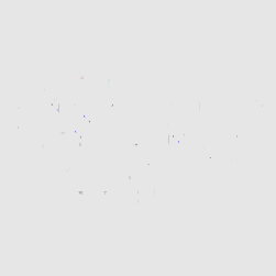 Cc1c(CF)cccc1NC(=O)c1cc(F)c(-n2nc3n(c2=O)CCCC3)cc1OC(C)C1CCCCC1